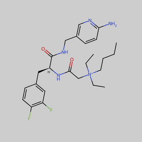 CCCC[N+](CC)(CC)CC(=O)N[C@@H](Cc1ccc(F)c(F)c1)C(=O)NCc1ccc(N)nc1